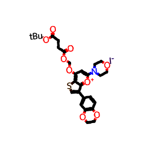 CC(C)(C)OC(=O)CCC(=O)OCOc1cc(N2CCOCC2)[o+]c2c(-c3ccc4c(c3)OCCO4)csc12.[I-]